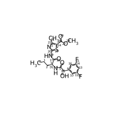 CCC[C@H](NC(=O)[C@@H](O)c1cc(F)cc(F)c1)C(=O)Nc1nc(C)c(C(=O)OC)s1